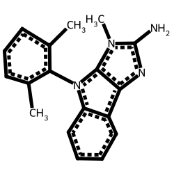 Cc1cccc(C)c1-n1c2ccccc2c2nc(N)n(C)c21